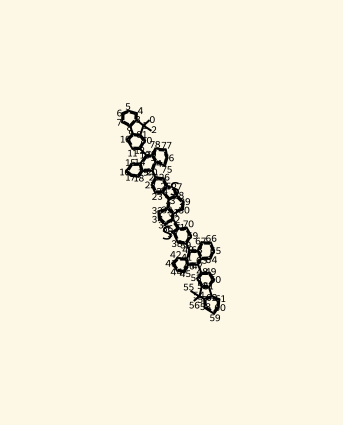 CC1(C)c2ccccc2-c2ccc(-c3c4ccccc4c(-c4ccc5c(c4)sc4ccc6c(ccc7sc8cc(-c9c%10ccccc%10c(-c%10ccc%11c(c%10)C(C)(C)c%10ccccc%10-%11)c%10ccccc9%10)ccc8c76)c45)c4ccccc34)cc21